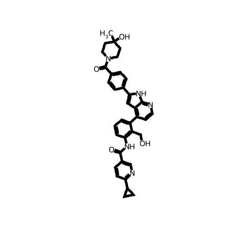 CC1(O)CCN(C(=O)c2ccc(-c3cc4c(-c5cccc(NC(=O)c6ccc(C7CC7)nc6)c5CO)ccnc4[nH]3)cc2)CC1